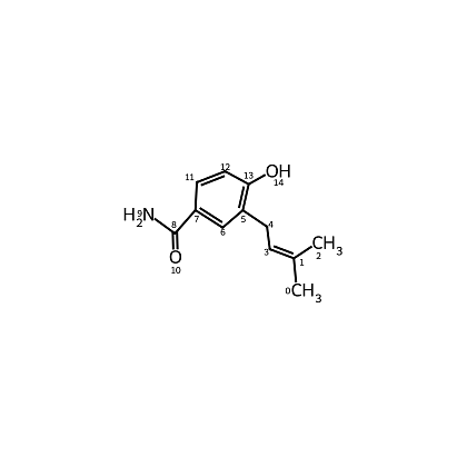 CC(C)=CCc1cc(C(N)=O)ccc1O